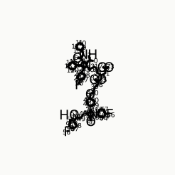 CC(C)c1c(C(=O)Nc2ccccc2)c(-c2ccccc2)c(-c2ccc(F)cc2)n1CCC1CC(OC(=O)CCCOc2ccc([C@@H]3[C@@H](CC[C@H](O)c4ccc(F)cc4)C(=O)N3c3ccc(F)cc3)cc2)CC(=O)O1